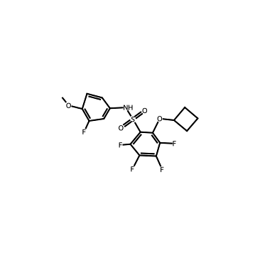 COc1ccc(NS(=O)(=O)c2c(F)c(F)c(F)c(F)c2OC2CCC2)cc1F